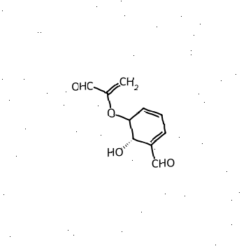 C=C(C=O)OC1C=CC=C(C=O)[C@@H]1O